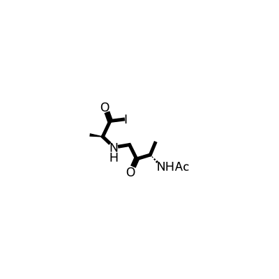 CC(=O)N[C@@H](C)C(=O)CN[C@@H](C)C(=O)I